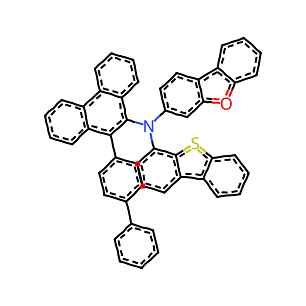 c1ccc(-c2ccc(-c3c(N(c4ccc5c(c4)oc4ccccc45)c4cccc5c4sc4ccccc45)c4ccccc4c4ccccc34)cc2)cc1